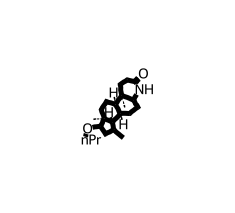 CCCOC1CC(C)[C@H]2[C@@H]3CCC4NC(=O)CC[C@]4(C)[C@@H]3CC[C@]12C